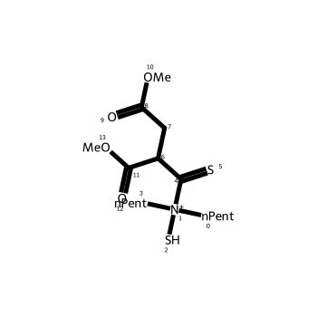 CCCCC[N+](S)(CCCCC)C(=S)C(CC(=O)OC)C(=O)OC